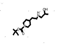 CC(O)CNCCC1CCN(C(=O)OC(C)(C)C)CC1